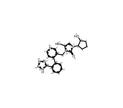 CCCCc1cn(C2CCCC2O)c(=O)n1Cc1cnccc1-c1ccccc1-c1nnn[nH]1